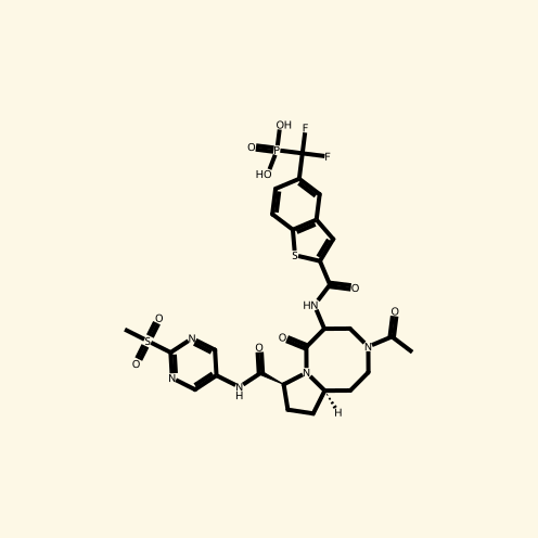 CC(=O)N1CC[C@H]2CC[C@@H](C(=O)Nc3cnc(S(C)(=O)=O)nc3)N2C(=O)C(NC(=O)c2cc3cc(C(F)(F)P(=O)(O)O)ccc3s2)C1